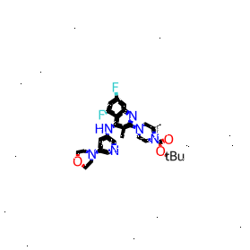 Cc1c(N2CCN(C(=O)OC(C)(C)C)[C@@H](C)C2)nc2cc(F)cc(F)c2c1Nc1cncc(N2CCOCC2)c1